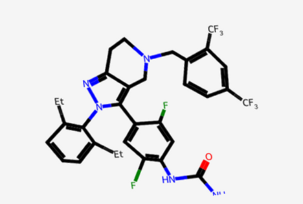 CCc1cccc(CC)c1-n1nc2c(c1-c1cc(F)c(NC(N)=O)cc1F)CN(Cc1ccc(C(F)(F)F)cc1C(F)(F)F)CC2